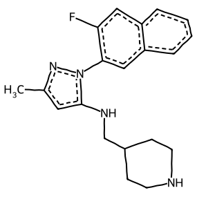 Cc1cc(NCC2CCNCC2)n(-c2cc3ccccc3cc2F)n1